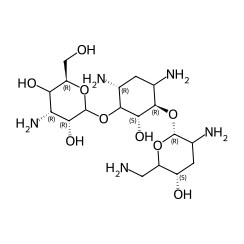 NCC1O[C@H](O[C@@H]2C(N)C[C@@H](N)C(OC3O[C@H](CO)C(O)[C@@H](N)[C@H]3O)[C@H]2O)C(N)C[C@@H]1O